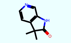 CC1(C)C(=O)Nc2cnccc21